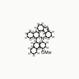 COc1ccc(N(c2ccc3ccccc3c2-c2ccc3ccccc3c2)c2cccc3sc4ccccc4c23)cc1